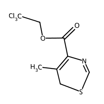 CC1=C(C(=O)OCC(Cl)(Cl)Cl)N=CSC1